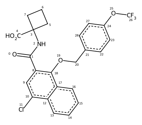 O=C(NC1(C(=O)O)CCC1)c1cc(Cl)c2ccccc2c1OCc1ccc(OC(F)(F)F)cc1